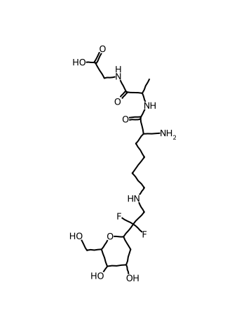 CC(NC(=O)C(N)CCCCNCC(F)(F)C1CC(O)C(O)C(CO)O1)C(=O)NCC(=O)O